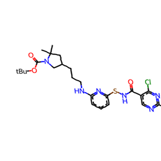 CC(C)(C)OC(=O)N1CC(CCCNc2cccc(SNC(=O)c3cnc(Cl)nc3Cl)n2)CC1(C)C